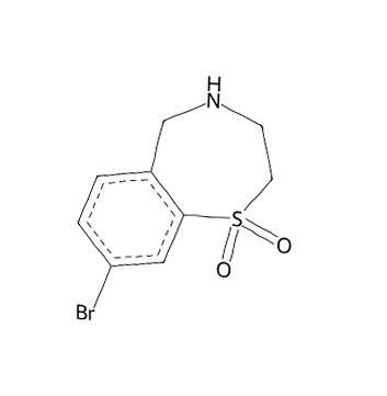 O=S1(=O)CCNCc2ccc(Br)cc21